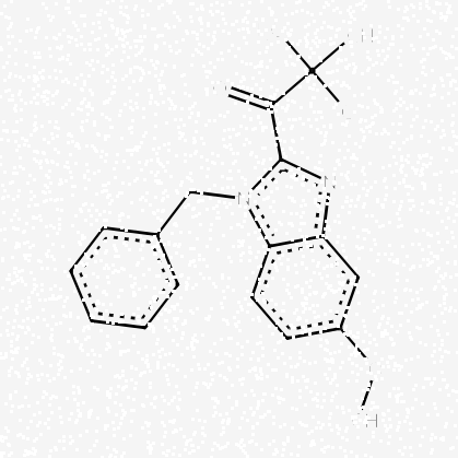 COc1ccc2c(c1)nc(C(=O)C(C)(C)C)n2Cc1ccccc1